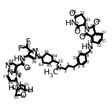 CN(CCCc1ccc(CNc2cccc3c2C(=O)N(C2CCC(=O)NC2=O)C3=O)cc1)CC1CCC(n2cc(NC(=O)c3cnn4ccc(N5C[C@H]6C[C@@H]5CO6)nc34)c(C(F)F)n2)CC1